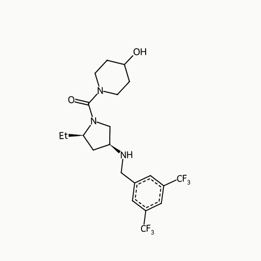 CC[C@@H]1C[C@H](NCc2cc(C(F)(F)F)cc(C(F)(F)F)c2)CN1C(=O)N1CCC(O)CC1